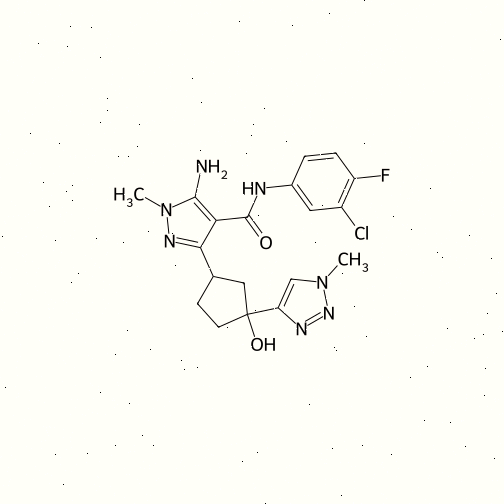 Cn1cc(C2(O)CCC(c3nn(C)c(N)c3C(=O)Nc3ccc(F)c(Cl)c3)C2)nn1